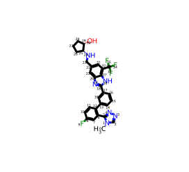 Cn1cnnc1-c1cc(F)ccc1-c1cccc(-c2nc3cc(CN[C@@H]4CCC[C@@H]4O)cc(C(F)(F)F)c3[nH]2)c1